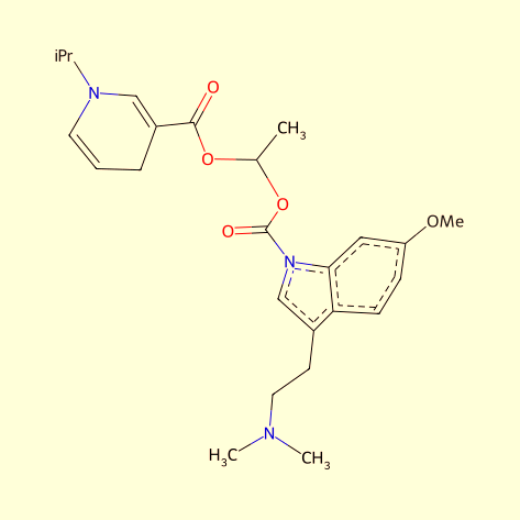 COc1ccc2c(CCN(C)C)cn(C(=O)OC(C)OC(=O)C3=CN(C(C)C)C=CC3)c2c1